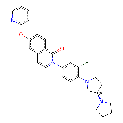 O=c1c2ccc(Oc3ccccn3)cc2ccn1-c1ccc(N2CC[C@@H](N3CCCC3)C2)c(F)c1